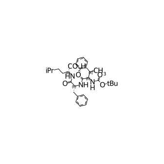 CC(C)CC[C@@H](NC(=O)[C@@H](Cc1ccccc1)NC(=O)[C@H](NC(=O)OC(C)(C)C)[C@H](C)c1ccccc1)C(=O)O